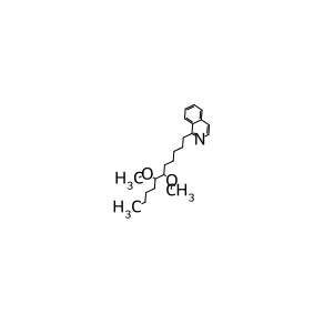 CCCCC(OC)C(CCCCCc1nccc2ccccc12)OC